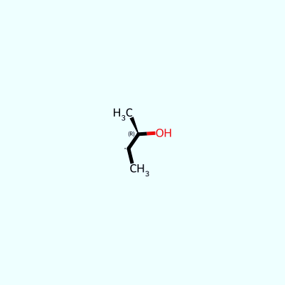 C[CH][C@@H](C)O